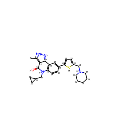 Cc1[nH]nc2c1c(=O)n(CC1CC1)c1ccc(-c3ccc(CN4CCCCC4)s3)cc21